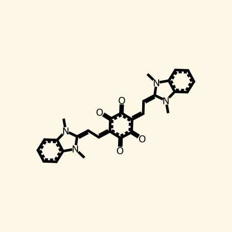 CN1C(=CC=c2c(=O)c(=O)c(=CC=C3N(C)c4ccccc4N3C)c(=O)c2=O)N(C)c2ccccc21